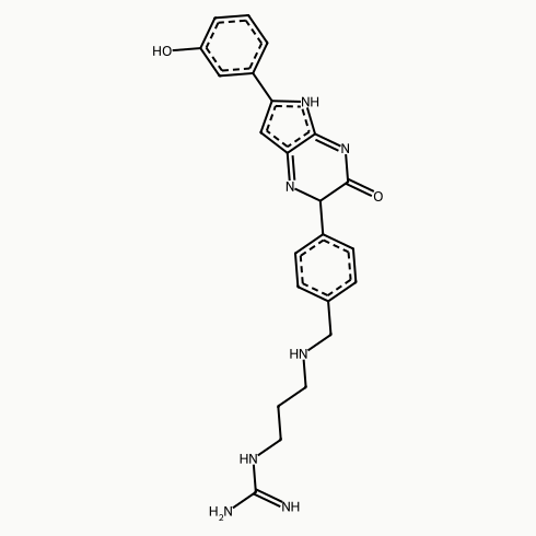 N=C(N)NCCCNCc1ccc(C2N=c3cc(-c4cccc(O)c4)[nH]c3=NC2=O)cc1